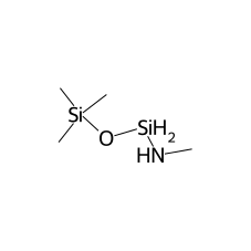 CN[SiH2]O[Si](C)(C)C